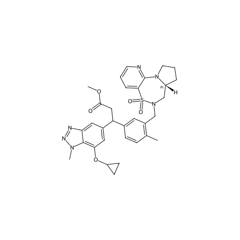 COC(=O)CC(c1ccc(C)c(CN2C[C@H]3CCCN3c3ncccc3S2(=O)=O)c1)c1cc(OC2CC2)c2c(c1)nnn2C